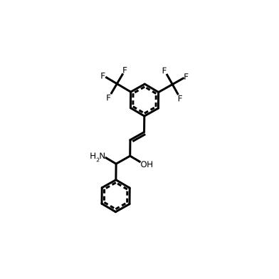 NC(c1ccccc1)C(O)C=Cc1cc(C(F)(F)F)cc(C(F)(F)F)c1